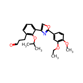 CCOc1cc(-c2nc(-c3cccc(CCC=O)c3OC(C)C)co2)ccc1OC